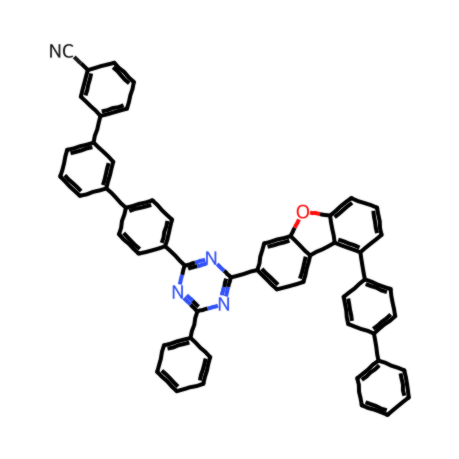 N#Cc1cccc(-c2cccc(-c3ccc(-c4nc(-c5ccccc5)nc(-c5ccc6c(c5)oc5cccc(-c7ccc(-c8ccccc8)cc7)c56)n4)cc3)c2)c1